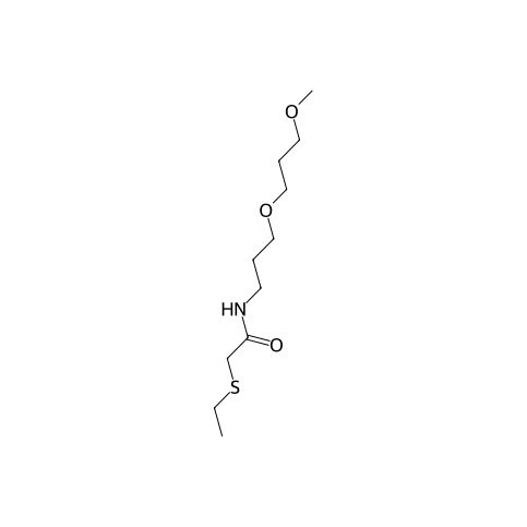 CCSCC(=O)NCCCOCCCOC